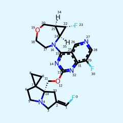 F/C=C1/CN2CCC3(CC3)[C@@]2(COc2nc(N3CCOC[C@H]4[C@H](F)[C@H]43)c3cncc(F)c3n2)C1